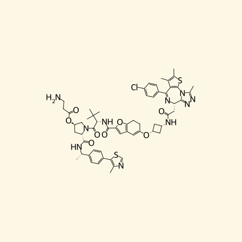 Cc1ncsc1-c1ccc([C@H](C)NC(=O)[C@@H]2C[C@@H](OC(=O)CCN)CN2C(=O)[C@@H](NC(=O)c2cc3c(o2)CCC(O[C@H]2C[C@@H](NC(=O)C[C@@H]4N=C(c5ccc(Cl)cc5)c5c(sc(C)c5C)-n5c(C)nnc54)C2)=C3)C(C)(C)C)cc1